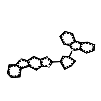 c1cc(-c2nc3cc4oc5ccccc5c4cc3o2)cc(-n2c3ccccc3c3ccccc32)c1